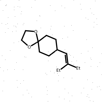 CCC(=CC1CCC2(CC1)OCCO2)CC